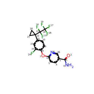 NC(=O)c1ccc(Oc2ccc(C3(C(F)(F)C(F)(F)F)CC3)cc2F)nc1